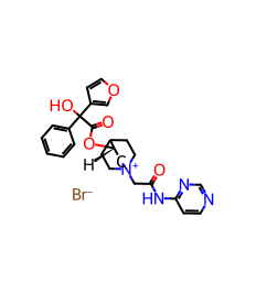 O=C(C[N+]12CCC(CC1)[C@@H](OC(=O)C(O)(c1ccccc1)c1ccoc1)C2)Nc1ccncn1.[Br-]